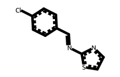 Clc1ccc(C=Nc2nccs2)cc1